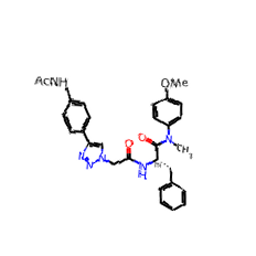 COc1ccc(N(C)C(=O)[C@H](Cc2ccccc2)NC(=O)Cn2cc(-c3ccc(NC(C)=O)cc3)nn2)cc1